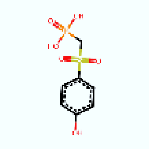 O=P(O)(O)CS(=O)(=O)c1ccc(O)cc1